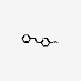 CSc1ccc(/N=C/c2ccccc2)nc1